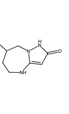 CC1CCNc2cc(=O)[nH]n2C1